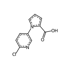 O=C(O)c1cccn1-c1ccc(Cl)nc1